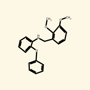 COc1cccc(CNc2ccccc2Oc2ccccc2)c1OC